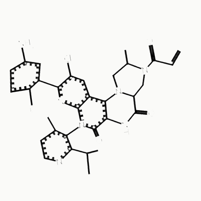 C=CC(=O)N1CC2C(=O)Nc3c(c4cc(Cl)c(-c5cc(N)ccc5Cl)nc4n(-c4c(C)ccnc4C(C)C)c3=O)N2CC1C